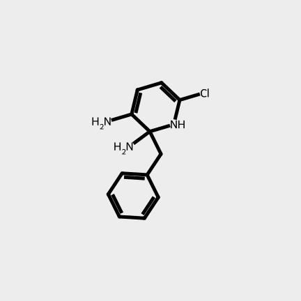 NC1=CC=C(Cl)NC1(N)Cc1ccccc1